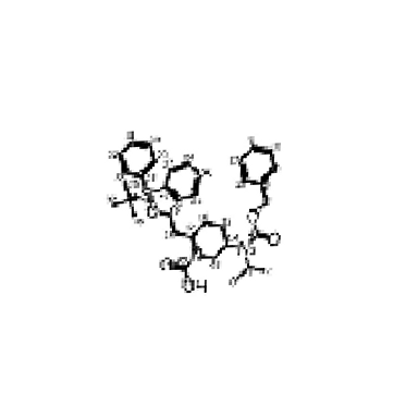 CC(C)N(C(=O)OCc1ccccc1)[C@@H]1CC[C@H](CCO[Si](c2ccccc2)(c2ccccc2)C(C)(C)C)N(C(=O)O)C1